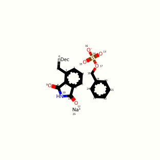 CCCCCCCCCCCc1cccc2c1C(=O)NC2=O.O=S(=O)([O-])OCc1ccccc1.[Na+]